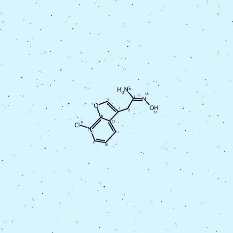 N/C(Cc1coc2c(Cl)cccc12)=N/O